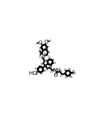 COc1cc2c(cc1OC)C(C)(C)N(CCCC(CCCNC(=O)CCc1ccc(F)cc1)(c1ccccc1)c1ccccc1)CC2.Cl